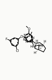 COc1cc(N2C[C@H]3CC[C@@H](C2)[C@H]3Nc2nc(Oc3cc(F)cc(Cl)c3)n(C)n2)cnn1